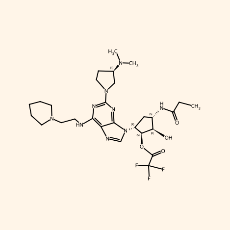 CCC(=O)N[C@H]1C[C@@H](n2cnc3c(NCCN4CCCCC4)nc(N4CC[C@@H](N(C)C)C4)nc32)[C@H](OC(=O)C(F)(F)F)[C@@H]1O